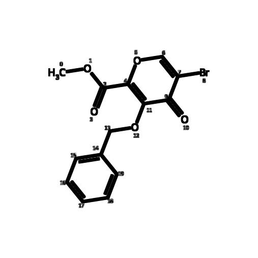 COC(=O)c1occ(Br)c(=O)c1OCc1ccccc1